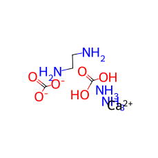 N.N.NCCN.O=C(O)O.O=C([O-])[O-].[Ca+2]